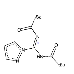 CC(C)(C)C(=O)/N=C(/NC(=O)C(C)(C)C)n1cccn1